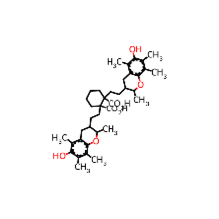 Cc1c(C)c2c(c(C)c1O)CC(CCC1(C(=O)O)CCCCC1(CCC1Cc3c(C)c(O)c(C)c(C)c3OC1C)C(=O)O)C(C)O2